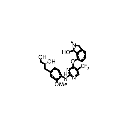 COc1cc(C[C@@H](O)CO)ccc1Nc1ncc(C(F)(F)F)c(Oc2cccc3c2C(O)N(C)C3)n1